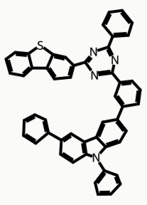 c1ccc(-c2ccc3c(c2)c2cc(-c4cccc(-c5nc(-c6ccccc6)nc(-c6ccc7c(c6)sc6ccccc67)n5)c4)ccc2n3-c2ccccc2)cc1